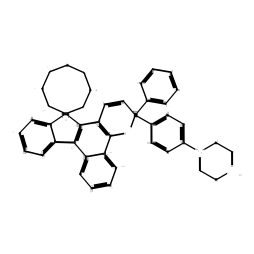 C1=CC(c2ccccc2)(c2ccc(N3CCOCC3)cc2)Oc2c1c1c(c3ccccc23)-c2ccccc2C12CCCCCCC2